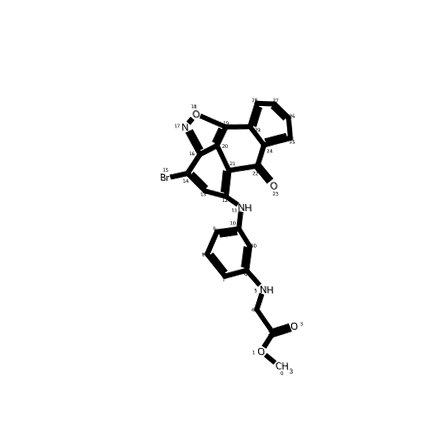 COC(=O)CNc1cccc(Nc2cc(Br)c3noc4c3c2C(=O)c2ccccc2-4)c1